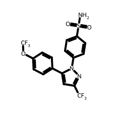 NS(=O)(=O)c1ccc(-n2nc(C(F)(F)F)cc2-c2ccc(OC(F)(F)F)cc2)cc1